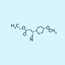 CCOC(=O)/C=C(\C#N)c1ccc(OC)cc1